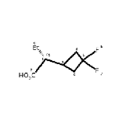 CC[C@@H](C(=O)O)C1CC(F)(F)C1